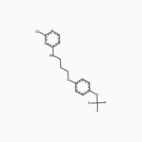 FC(F)(F)Oc1ccc(OCCCNc2ccnc(Cl)n2)cc1